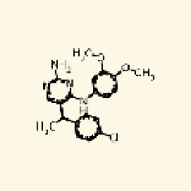 COc1ccc(Nc2nc(N)ncc2C(C)c2ccc(Cl)cc2)cc1OC